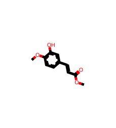 COC(=O)/C=C/c1ccc(OC)c(O)c1